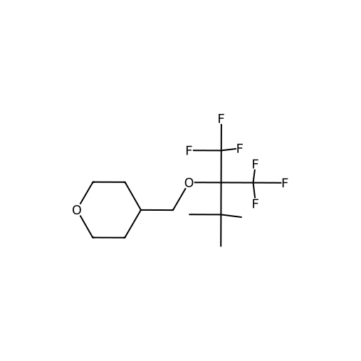 CC(C)(C)C(OCC1CCOCC1)(C(F)(F)F)C(F)(F)F